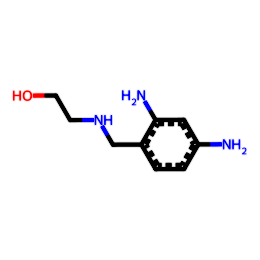 Nc1ccc(CNCCO)c(N)c1